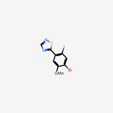 COc1cc(-c2ncns2)c(I)cc1Br